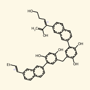 C=C(O)/C(=C\CCO)c1ccc2ccc(-c3cc(Cc4cc(-c5ccc6ccc(/C=C/CC)cc6c5)c(O)cc4O)c(O)cc3O)cc2c1